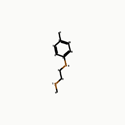 CSCCSc1ccc(C)cc1